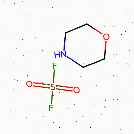 C1COCCN1.O=S(=O)(F)F